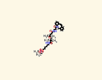 CCP(=O)(OC)OCCCCCCNC(=O)C(C)(C)COC(C)(C)CCC(=O)NCCC(=O)N1Cc2ccccc2C#Cc2ccccc21